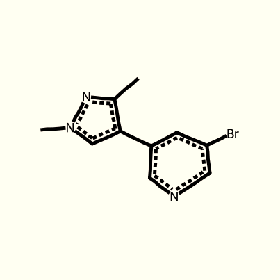 Cc1nn(C)cc1-c1cncc(Br)c1